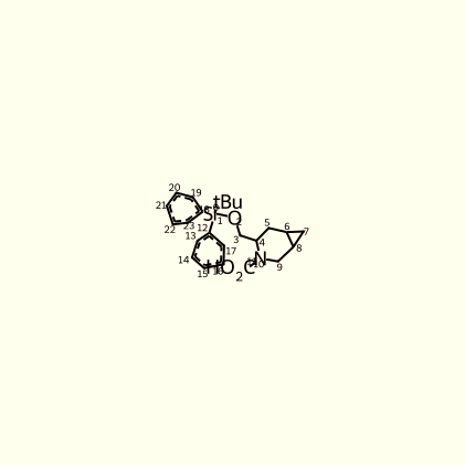 CC(C)(C)[Si](OCC1CC2CC2CN1C(=O)O)(c1ccccc1)c1ccccc1